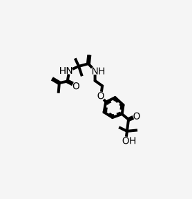 C=C(C)C(=O)NC(C)(C)C(=C)NCCOc1ccc(C(=O)C(C)(C)O)cc1